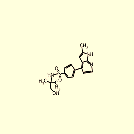 Cc1cc2c(-c3ccc(S(=O)(=O)NC(C)(C)CO)cc3)ccnc2[nH]1